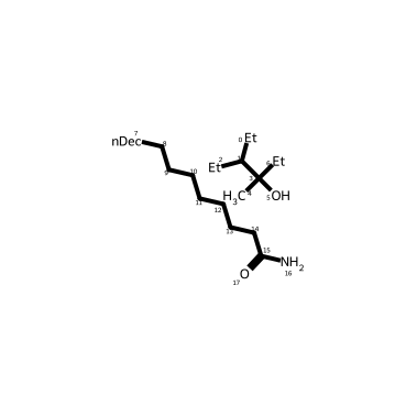 CCC(CC)C(C)(O)CC.CCCCCCCCCCCCCCCCCC(N)=O